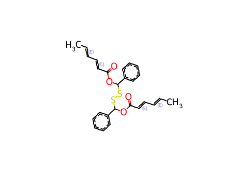 C/C=C/C=C/C(=O)OC(SSC(OC(=O)/C=C/C=C/C)c1ccccc1)c1ccccc1